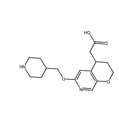 O=C(O)CC1CCOc2cnc(OCC3CCNCC3)cc21